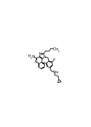 CCCCc1nc2c(N)nc3ccccc3c2n1Cc1c(F)cc(CNCCC2CC2)cc1F